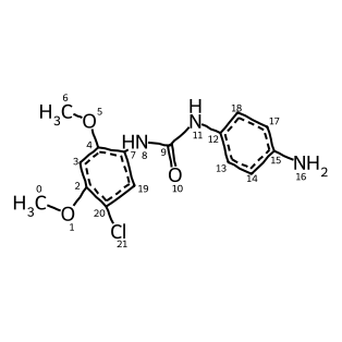 COc1cc(OC)c(NC(=O)Nc2ccc(N)cc2)cc1Cl